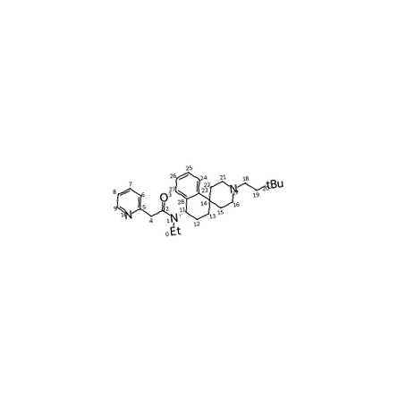 CCN(C(=O)Cc1ccccn1)[C@H]1CCC2(CCN(CCC(C)(C)C)CC2)c2ccccc21